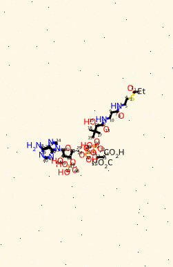 CCC(=O)SCCNC(=O)CCNC(=O)[C@H](O)C(C)(C)COP(=O)(O)OP(=O)(O)OC[C@H]1O[C@@H](n2cnc3c(N)ncnc32)[C@H](O)[C@@H]1OP(=O)(O)O.O=C(O)CCC(=O)O